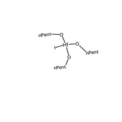 CCCCC[O][Hf]([I])([O]CCCCC)[O]CCCCC